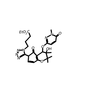 CCOC(=O)CCCn1nnnc1C1C=CC2=C(C1=O)C(Oc1ccc(=O)n(C)n1)C(C)(O)C(C)(C)O2